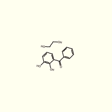 O=C(c1ccccc1)c1cccc(O)c1O.OCCO